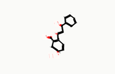 O=C(C=C1OC(=O)c2cc(O)ccc21)c1ccccc1